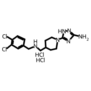 Cl.Cl.Nc1n[nH]c(N2CCC(CNCc3ccc(Cl)c(Cl)c3)CC2)n1